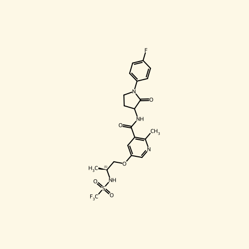 Cc1ncc(OC[C@H](C)NS(=O)(=O)C(F)(F)F)cc1C(=O)NC1CCN(c2ccc(F)cc2)C1=O